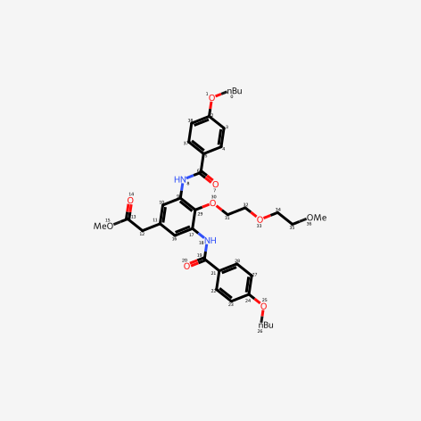 CCCCOc1ccc(C(=O)Nc2cc(CC(=O)OC)cc(NC(=O)c3ccc(OCCCC)cc3)c2OCCOCCOC)cc1